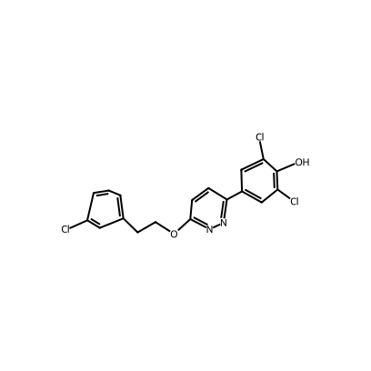 Oc1c(Cl)cc(-c2ccc(OCCc3cccc(Cl)c3)nn2)cc1Cl